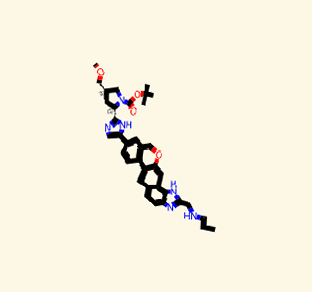 CCCNCc1nc2ccc3cc4c(cc3c2[nH]1)OCc1cc(-c2cnc([C@@H]3C[C@H](COC)CN3C(=O)OC(C)(C)C)[nH]2)ccc1-4